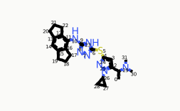 CC(c1cc(Sc2nnc(Nc3c4c(cc5c3CCC5)CCC4)[nH]2)nn1C1CC1)N(C)C